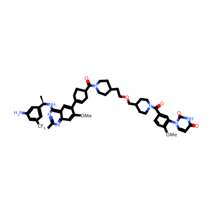 COc1cc2nc(C)nc(N[C@H](C)c3cc(N)cc(C(F)(F)F)c3)c2cc1C1=CCC(C(=O)N2CCC(CCOCC3CCN(C(=O)c4ccc(OC)c(-n5ccc(=O)[nH]c5=O)c4)CC3)CC2)CC1